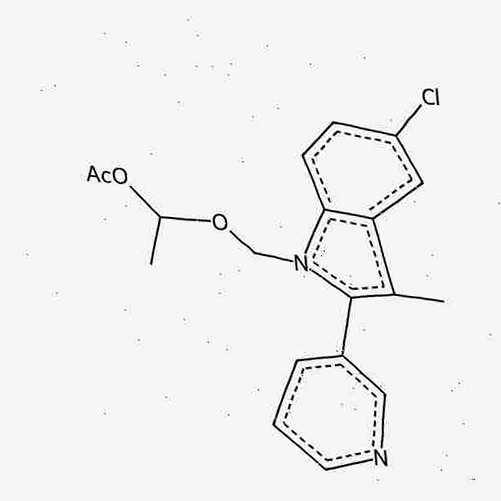 CC(=O)OC(C)OCn1c(-c2cccnc2)c(C)c2cc(Cl)ccc21